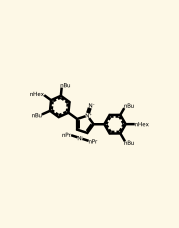 CCCCCCc1c(CCCC)cc(C2=CC=C(c3cc(CCCC)c(CCCCCC)c(CCCC)c3)[N+]2=[N-])cc1CCCC.CC[CH2][Ni][CH2]CC